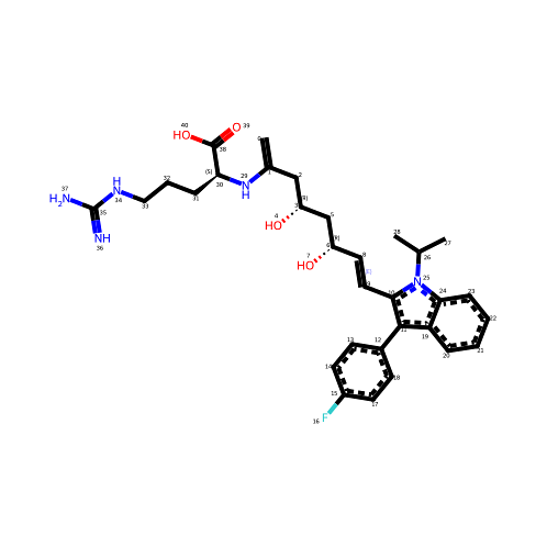 C=C(C[C@@H](O)C[C@@H](O)/C=C/c1c(-c2ccc(F)cc2)c2ccccc2n1C(C)C)N[C@@H](CCCNC(=N)N)C(=O)O